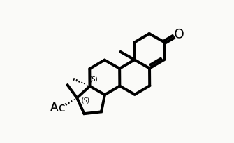 CC(=O)[C@@]1(C)CCC2C3CCC4=CC(=O)CCC4(C)C3CC[C@@]21C